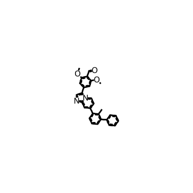 COc1cc(-c2cnc3cc(-c4cccc(-c5ccccc5)c4C)ccn23)cc(OC)c1C=O